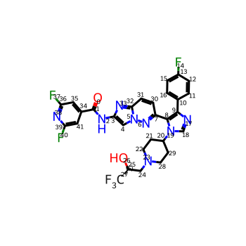 O=C(Nc1cn2nc(-c3c(-c4ccc(F)cc4)ncn3C3CCN(C[C@H](O)C(F)(F)F)CC3)ccc2n1)c1cc(F)nc(F)c1